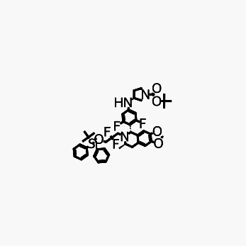 C[C@@H]1Cc2cc3c(cc2[C@@H](c2c(F)cc(N[C@H]4CCN(C(=O)OC(C)(C)C)C4)cc2F)N1CC(F)(F)CO[Si](c1ccccc1)(c1ccccc1)C(C)(C)C)OCO3